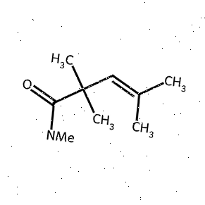 CNC(=O)C(C)(C)C=C(C)C